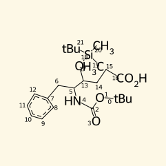 CC(C)(C)OC(=O)NC(Cc1ccccc1)C(CCC(=O)O)O[Si](C)(C)C(C)(C)C